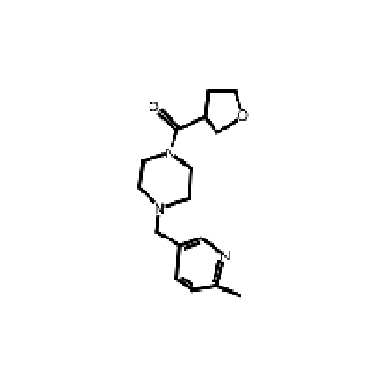 Cc1ccc(CN2CCN(C(=O)C3CCOC3)CC2)cn1